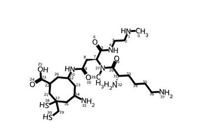 CNCCNC(=O)[C@H](CC(=O)NC1CC(N)CC(S)(CS)CC(C(=O)O)C1)N(C)C(=O)[C@@H](N)CCCCN